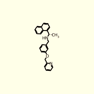 C[C@H](NCc1cccc(OCc2ccccn2)c1)c1cccc2ccccc12